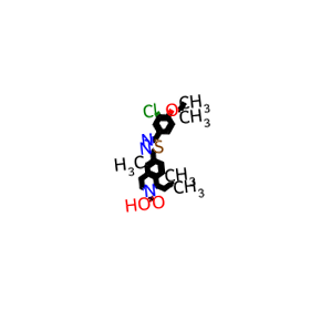 Cc1c(-c2nnc(-c3ccc(OC(C)C)c(Cl)c3)s2)ccc2c1CCN(C(=O)O)C2CC(C)C